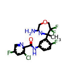 CC1(c2cc(NC(=O)c3ncc(F)cc3Cl)ccc2F)N=C(N)COCC1(F)F